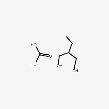 CCC(CO)CO.O=C(O)O